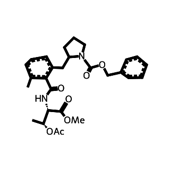 COC(=O)[C@@H](NC(=O)c1c(C)cccc1CC1CCCN1C(=O)OCc1ccccc1)[C@@H](C)OC(C)=O